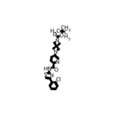 CC(C)(C)OC(=O)N1CC2(C1)CN(c1ccc(C(=O)Nc3nc(-c4ccccc4Cl)cs3)nc1)C2